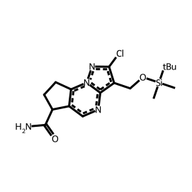 CC(C)(C)[Si](C)(C)OCc1c(Cl)nn2c3c(cnc12)C(C(N)=O)CC3